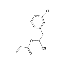 C=CC(=O)OC(C#N)Cc1cccc(Cl)c1